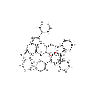 c1ccc(-c2nc3cc4oc5ccccc5c4c(N(c4ccc5c6ccccc6n(-c6ccccc6)c5c4)c4ccccc4-c4ccccc4)c3o2)cc1